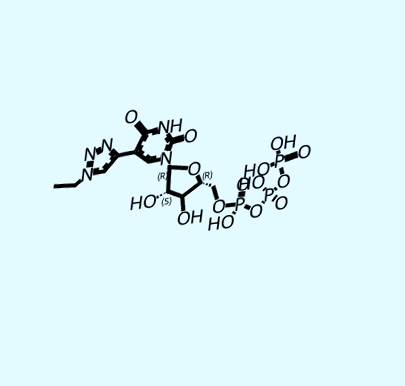 CCn1cc(-c2cn([C@@H]3O[C@H](COP(=O)(O)OP(=O)(O)OP(=O)(O)O)C(O)[C@@H]3O)c(=O)[nH]c2=O)nn1